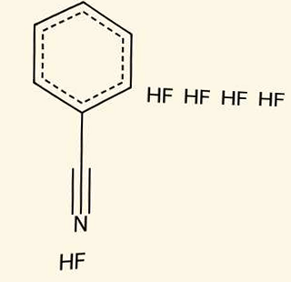 F.F.F.F.F.N#Cc1ccccc1